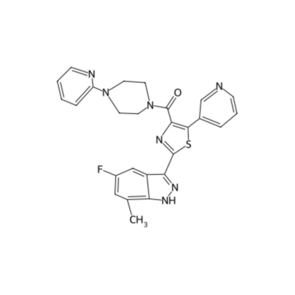 Cc1cc(F)cc2c(-c3nc(C(=O)N4CCN(c5ccccn5)CC4)c(-c4cccnc4)s3)n[nH]c12